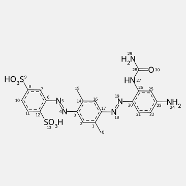 Cc1cc(N=Nc2cc(S(=O)(=O)O)ccc2S(=O)(=O)O)c(C)cc1N=Nc1ccc(N)cc1NC(N)=O